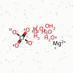 O.O.O.O.O.[Mg+2].[O]=[Cr](=[O])([O-])[O-]